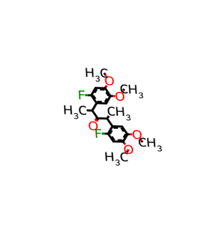 COc1cc(F)c(C(C)C(=O)C(C)c2cc(OC)c(OC)cc2F)cc1OC